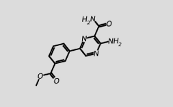 COC(=O)c1cccc(-c2cnc(N)c(C(N)=O)n2)c1